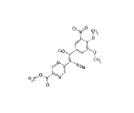 COC(=O)c1cnc(C(C#N)=C(O)c2cc(OC)c(OC)c([N+](=O)[O-])c2)cn1